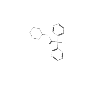 O=C(OC1CCCNC1)C(O)(c1ccccc1)c1ccccc1